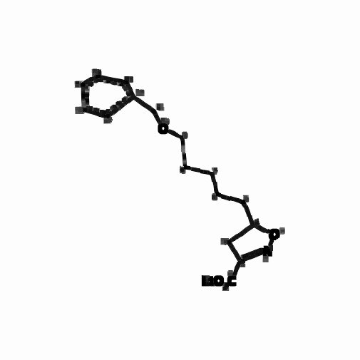 CCOC(=O)C1=NOC(CCCCCOCc2ccccc2)C1